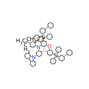 CC(C)(C)c1ccc(N2c3cc(-n4c5ccccc5c5ccccc54)ccc3B3c4ccc([Si](c5ccccc5)(c5ccccc5)c5cccc(-c6ccccc6)c5)cc4Oc4cc([Si](c5ccccc5)(c5ccccc5)c5cccc(-c6ccccc6)c5)cc2c43)c(-c2ccccc2)c1